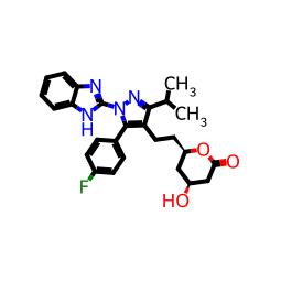 CC(C)c1nn(-c2nc3ccccc3[nH]2)c(-c2ccc(F)cc2)c1CC[C@@H]1C[C@H](O)CC(=O)O1